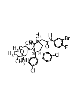 CC(C)[C@@H](CS(=N)(=O)C(C)C)N1C(=O)[C@@](C)(CC(=O)Nc2ccc(F)c(Br)c2)C[C@H](c2cccc(Cl)c2)[C@H]1c1ccc(Cl)cc1